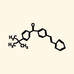 CC(C)(C)c1ccc(C(=O)c2ccc(C=Cc3ccccc3)cc2)cc1